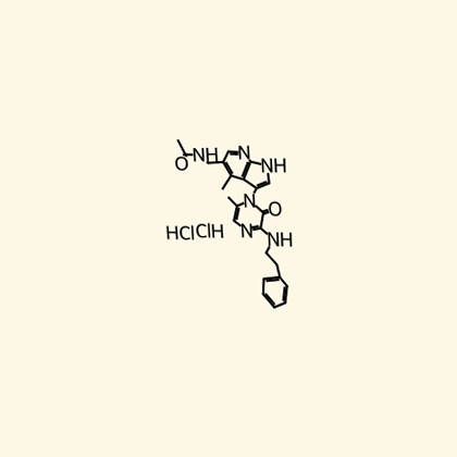 CC(=O)NCc1cnc2[nH]cc(-n3c(C)cnc(NCCc4ccccc4)c3=O)c2c1C.Cl.Cl